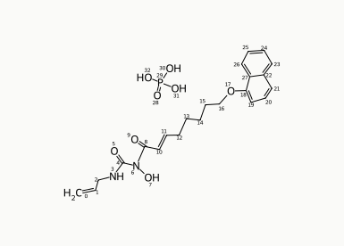 C=CCNC(=O)N(O)C(=O)C=CCCCCCOc1cccc2ccccc12.O=P(O)(O)O